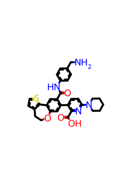 NCc1ccc(NC(=O)c2cc3c(cc2-c2ccc(N4CCCCC4)nc2C(=O)O)OCCc2ccsc2-3)cc1